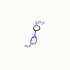 CN1CCCN(C2CCN(C(=O)O)CC2)CC1